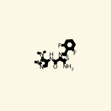 CN(C)c1c(NC(=O)c2nc(-c3c(F)cccc3F)sc2N)cnn1C